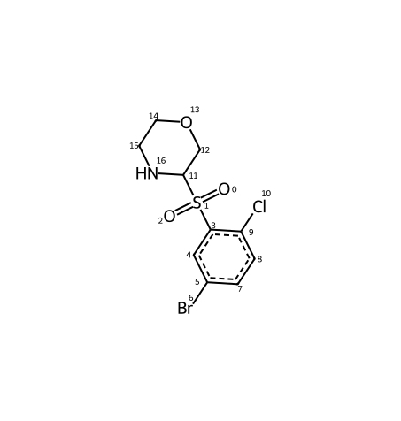 O=S(=O)(c1cc(Br)ccc1Cl)C1COCCN1